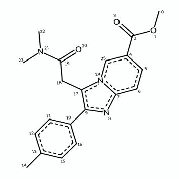 COC(=O)c1ccc2nc(-c3ccc(C)cc3)c(CC(=O)N(C)C)n2c1